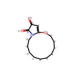 O=C1C=C2OCCCCCCCCCCN2C1=O